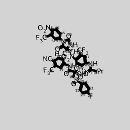 CC(C)C(=O)Nc1ccc([N+](=O)[O-])c(C(F)(F)F)c1.CC(O)(CS(=O)(=O)c1ccc(F)cc1)C(=O)Nc1ccc(C#N)c(C(F)(F)F)c1.CC1(C)NC(=O)N(c2ccc([N+](=O)[O-])c(C(F)(F)F)c2)C1=O